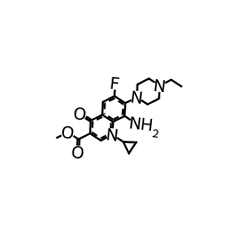 CCN1CCN(c2c(F)cc3c(=O)c(C(=O)OC)cn(C4CC4)c3c2N)CC1